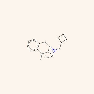 CC1C2Cc3ccccc3C1(C)CCN2CC1CCC1